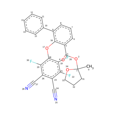 CC1(OC(=O)c2cccc(-c3ccccc3)c2Oc2c(F)c(F)c(C#N)c(C#N)c2F)CCCO1